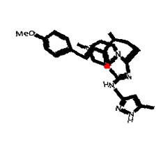 COc1ccc(/C=C/C2=N/C(Nc3cc(C)[nH]n3)=N\C(N3CCN(C)CC3)=C\CC2C)cc1